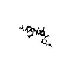 Cn1c(-c2cc3ccc(OC(F)F)nc3n2CC2CC2)nc2cc(C(=O)N3CCC[C@@H](N)C3)cc(F)c21